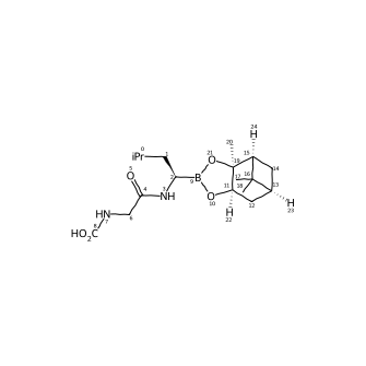 CC(C)C[C@H](NC(=O)CNC(=O)O)B1O[C@@H]2C[C@@H]3C[C@@H](C3(C)C)[C@]2(C)O1